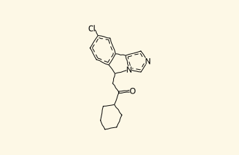 O=C(CC1c2ccc(Cl)cc2-c2cncn21)C1CCCCC1